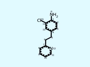 Nc1ccc(CCc2ccccn2)cc1Cl